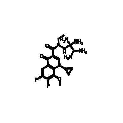 CCN(NC(N)(N)C(N)N)C(=O)c1cn(C2CC2)c2c(OC)c(F)c(F)cc2c1=O